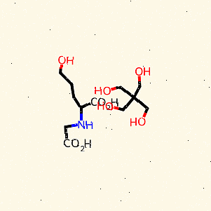 O=C(O)CNC(CCCO)C(=O)O.OCC(CO)(CO)CO